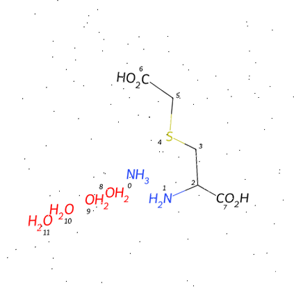 N.NC(CSCC(=O)O)C(=O)O.O.O.O.O